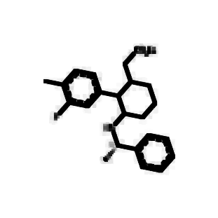 CCOC(=O)CC1CCCC(N[C@@H](C)c2ccccc2)C1c1ccc(C)c(F)c1